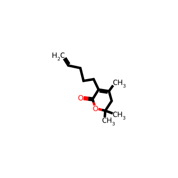 C=CCCCC1=C(C)CC(C)(C)OC1=O